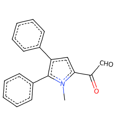 Cn1c(C(=O)C=O)cc(-c2ccccc2)c1-c1ccccc1